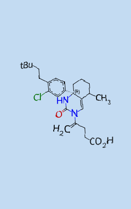 C=C(CCC(=O)O)N1C=C2C(C)CCC[C@]2(c2ccc(CCC(C)(C)C)c(Cl)c2)NC1=O